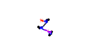 CC1(C)C(/C=C/C=C/C=C/C=C2\N(CCCCS(=O)(=O)[O-])c3ccc4ccccc4c3C2(C)C)=[N+](CCCCCC(=O)NCCC(=O)N2Cc3ccccc3C#Cc3ccccc32)c2ccc3ccccc3c21